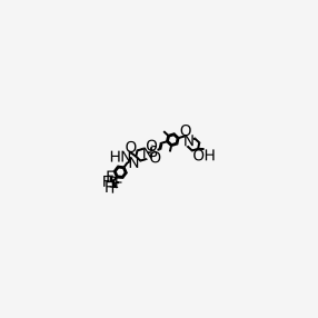 Cc1cc(C(=O)N2CCC(C)(O)CC2)cc(C)c1/C=C/S(=O)(=O)N1CCC2(CC1)N=C(c1ccc(S(F)(F)(F)(F)F)cc1)NC2=O